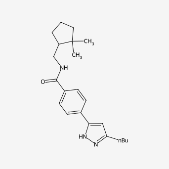 CCCCc1cc(-c2ccc(C(=O)NCC3CCCC3(C)C)cc2)[nH]n1